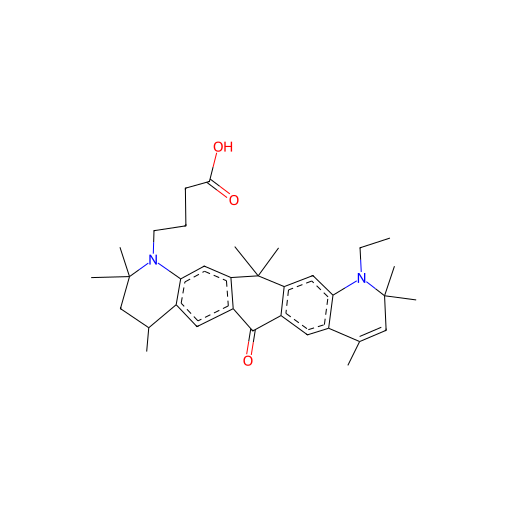 CCN1c2cc3c(cc2C(C)=CC1(C)C)C(=O)c1cc2c(cc1C3(C)C)N(CCCC(=O)O)C(C)(C)CC2C